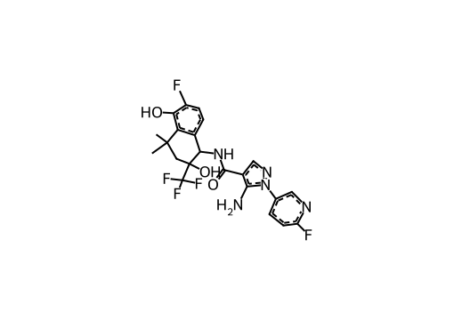 CC1(C)CC(O)(C(F)(F)F)C(NC(=O)c2cnn(-c3ccc(F)nc3)c2N)c2ccc(F)c(O)c21